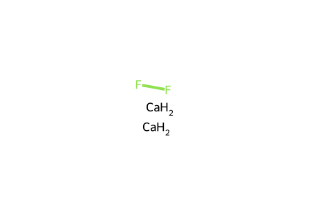 FF.[CaH2].[CaH2]